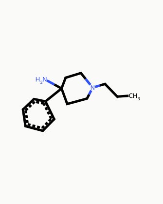 C[CH]CN1CCC(N)(c2ccccc2)CC1